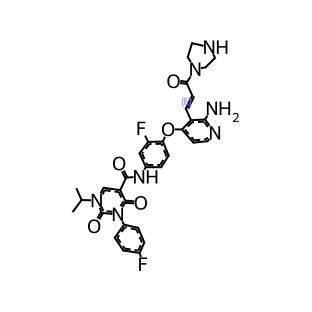 CC(C)n1cc(C(=O)Nc2ccc(Oc3ccnc(N)c3/C=C/C(=O)N3CCNCC3)c(F)c2)c(=O)n(-c2ccc(F)cc2)c1=O